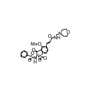 COc1c(C=CC(=O)NCN2CCOCC2)ccc2c1C(=O)N(NS(=O)(=O)c1ccccc1)S2(=O)=O